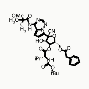 COC(C)(C)C(=O)Nc1ncnn2c([C@]3(C#N)O[C@H](COC(=O)Cc4ccccc4)[C@@H](OC(=O)[C@H](NC(=O)OC(C)(C)C)C(C)C)[C@H]3O)ccc12